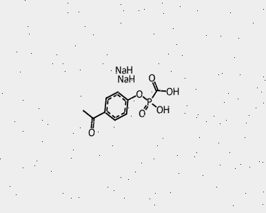 CC(=O)c1ccc(OP(=O)(O)C(=O)O)cc1.[NaH].[NaH]